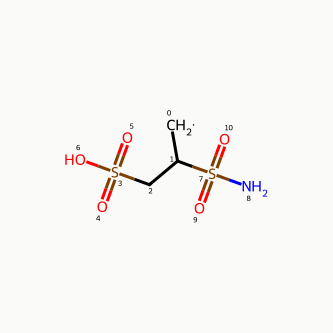 [CH2]C(CS(=O)(=O)O)S(N)(=O)=O